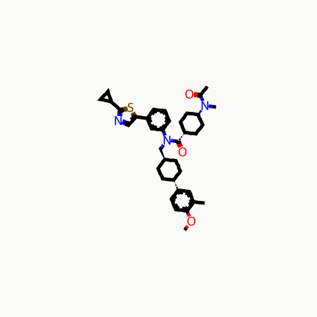 COc1ccc([C@H]2CC[C@H](CN(c3cccc(-c4cnc(C5CC5)s4)c3)C(=O)[C@H]3CC[C@H](N(C)C(C)=O)CC3)CC2)cc1C